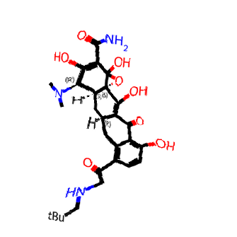 CN(C)[C@H]1C(O)=C(C(N)=O)C2(O)O[C@@]23C(O)=C2C(=O)c4c(O)ccc(C(=O)CNCC(C)(C)C)c4C[C@H]2C[C@@H]13